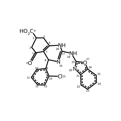 O=C1CC(C(=O)O)CC2=C1C(c1ccccc1Cl)N=C(Nc1nc3ccccc3o1)N2